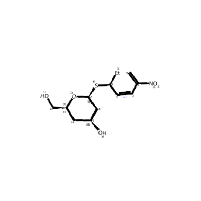 C=C(/C=C\C(CC)S[C@H]1C[C@@H](O)C[C@@H](CO)O1)[N+](=O)[O-]